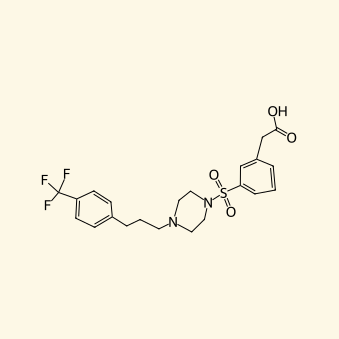 O=C(O)Cc1cccc(S(=O)(=O)N2CCN(CCCc3ccc(C(F)(F)F)cc3)CC2)c1